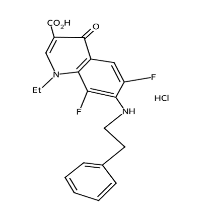 CCn1cc(C(=O)O)c(=O)c2cc(F)c(NCCc3ccccc3)c(F)c21.Cl